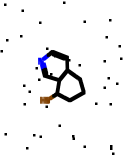 SC1CCCC2C=CN=CC12